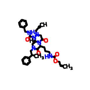 C#CCN1CC(=O)N2C(CCCNC(=O)OCC=C)C(=O)N(CC(C)c3ccccc3)C[C@@H]2N1C(=O)NCc1ccccc1